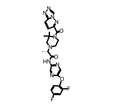 C[C@@H](C(=O)Nc1cnc(Oc2ccc(F)cc2F)cn1)N1CCN(C(=O)c2ccc3nncn3n2)C(C)(C)C1